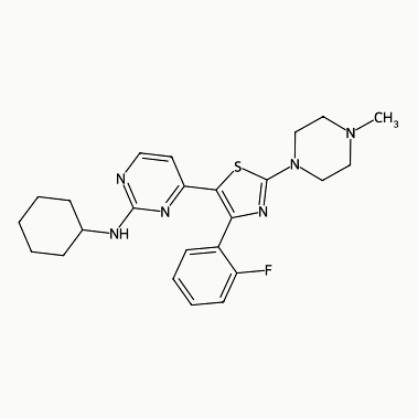 CN1CCN(c2nc(-c3ccccc3F)c(-c3ccnc(NC4CCCCC4)n3)s2)CC1